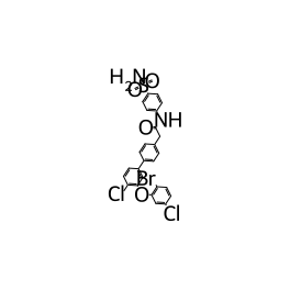 NS(=O)(=O)c1ccc(NC(=O)Cc2ccc(-c3ccc(Cl)c(Oc4cc(Cl)ccc4Br)c3)cc2)cc1